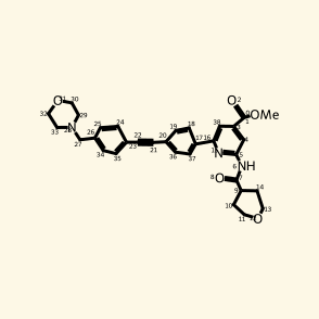 COC(=O)c1cc(NC(=O)C2CCOCC2)nc(-c2ccc(C#Cc3ccc(CN4CCOCC4)cc3)cc2)c1